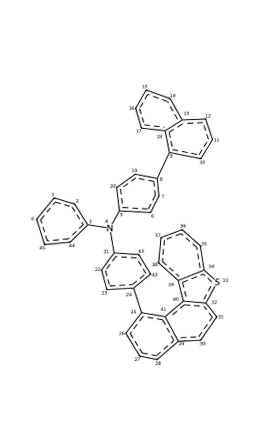 c1ccc(N(c2ccc(-c3cccc4ccccc34)cc2)c2ccc(-c3cccc4ccc5sc6ccccc6c5c34)cc2)cc1